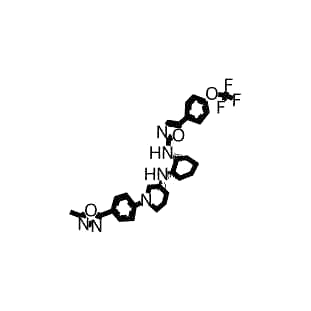 Cc1nnc(-c2ccc(N3CCC[C@H](N[C@@H]4CCCC[C@H]4Nc4ncc(-c5ccc(OC(F)(F)F)cc5)o4)C3)cc2)o1